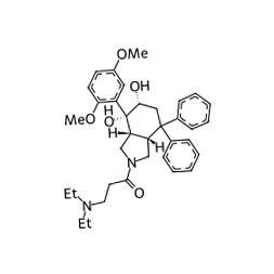 CCN(CC)CCC(=O)N1C[C@@H]2[C@H](C1)[C@@](O)(c1cc(OC)ccc1OC)[C@H](O)CC2(c1ccccc1)c1ccccc1